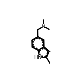 Cc1[c]c2cc(CN(C)C)ccc2[nH]1